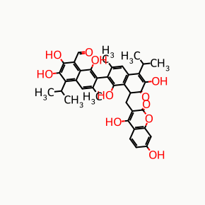 Cc1cc2c(c(O)c1-c1c(C)cc3c(C(C)C)c(O)c(O)c(C=O)c3c1O)C(Cc1c(O)c3ccc(O)cc3oc1=O)C(=O)C(O)=C2C(C)C